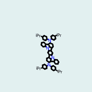 CC(C)c1ccc(N(c2ccc(C(C)C)cc2)c2ccc3c4cc5c(cc4n4c6ccccc6c2c34)c2ccc(N(c3ccc(C(C)C)cc3)c3ccc(C(C)C)cc3)c3c4ccccc4n5c23)cc1